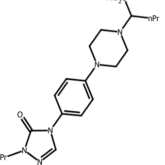 CCCC(C(=O)OCC)N1CCN(c2ccc(-n3cnn(C(C)C)c3=O)cc2)CC1